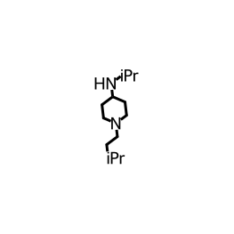 CC(C)CCN1CCC(NC(C)C)CC1